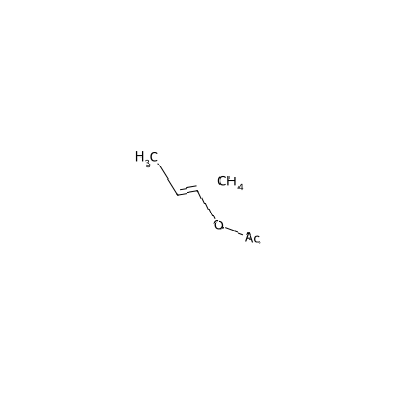 C.CC=COC(C)=O